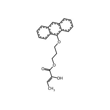 CC=C(O)C(=O)OCCCOc1c2ccccc2cc2ccccc12